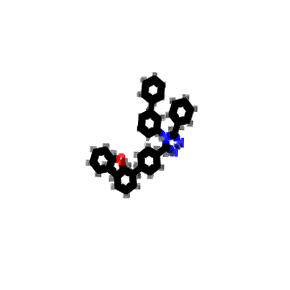 c1ccc(-c2cccc(-n3c(-c4ccccc4)nnc3-c3ccc(-c4cccc5c4oc4ccccc45)cc3)c2)cc1